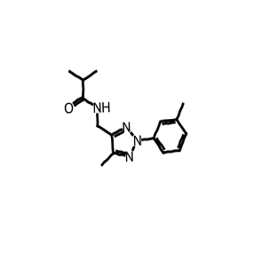 Cc1cccc(-n2nc(C)c(CNC(=O)C(C)C)n2)c1